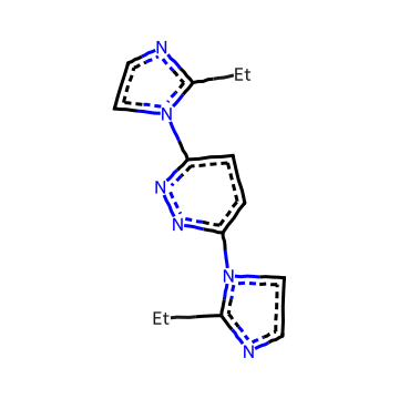 CCc1nccn1-c1ccc(-n2ccnc2CC)nn1